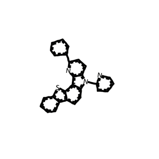 c1ccc(-c2ccc3c(n2)c2c4sc5ccccc5c4ccc2n3-c2ccccn2)cc1